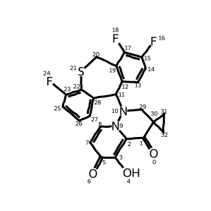 O=C1c2c(O)c(=O)ccn2N(C2c3ccc(F)c(F)c3CSc3c(F)cccc32)CC12CC2